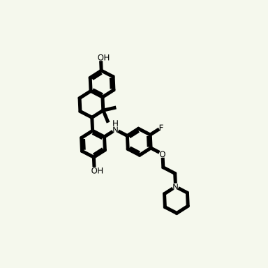 CC1(C)c2ccc(O)cc2CCC1c1ccc(O)cc1Nc1ccc(OCCN2CCCCC2)c(F)c1